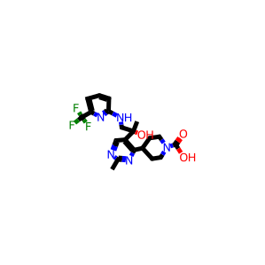 Cc1ncc(C(C)(O)CNc2cccc(C(F)(F)F)n2)c(C2CCN(C(=O)O)CC2)n1